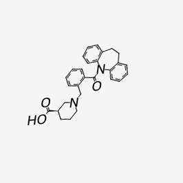 O=C(O)[C@@H]1CCCN(Cc2ccccc2C(=O)N2c3ccccc3CCc3ccccc32)C1